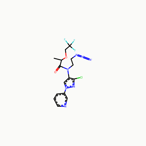 CC(OCC(F)(F)F)C(=O)N(CCN=[N+]=[N-])c1cn(-c2cccnc2)nc1Cl